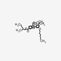 CCCCCCCCOc1cc(-n2nc3ccc(C(=O)OCC(CC)CCCC)cc3n2)c(O)c(C(C)(C)C)c1